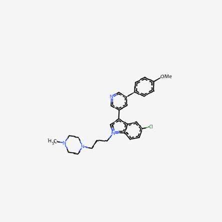 COc1ccc(-c2cncc(-c3cn(CCCN4CCN(C)CC4)c4ccc(Cl)cc34)c2)cc1